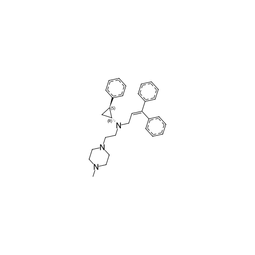 CN1CCN(CCN(CC=C(c2ccccc2)c2ccccc2)[C@@H]2C[C@H]2c2ccccc2)CC1